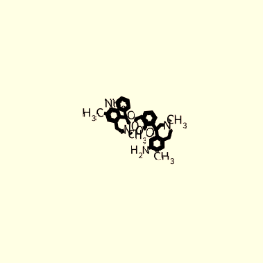 Cc1cc2c(cc1N)[C@](OC(=O)/C=C\C(=O)O[C@@]1(c3ccccc3)CN(C)CCc3cc(C)c(N)cc31)(c1ccccc1)CN(C)CC2